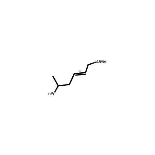 CCCC(C)C/C=C/COC